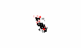 CC1OC(O[C@H]2CC[C@@]3(C)C(=CC[C@@H]4[C@@H]3CC[C@]3(C)[C@H]5[C@@H]6CC[C@H]5O[C@]43OC6)C2)CC(CO)C1O